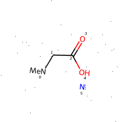 CNCC(=O)O.[N]